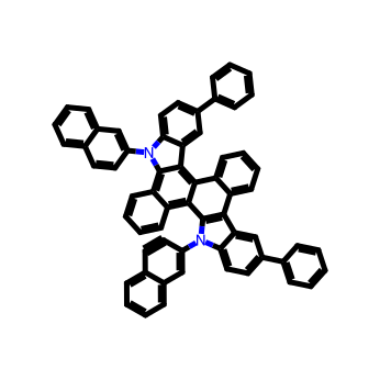 c1c(-n2c3ccc(-c4ccccc4)cc3c3c4ccccc4c4c5c6cc(-c7ccccc7)ccc6n(-c6ccc7ccccc7c6)c5c5ccccc5c4c32)cc2ccccc2c#1